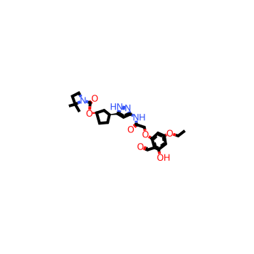 CCOc1cc(O)c(C=O)c(OCC(=O)Nc2cc([C@H]3CC[C@@H](OC(=O)N4CCC4(C)C)C3)[nH]n2)c1